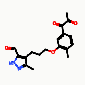 CC(=O)C(=O)c1ccc(C)c(OCCCc2c(C)n[nH]c2C=O)c1